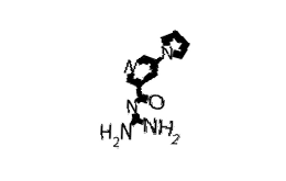 NC(N)=NC(=O)c1cncc(-n2cccc2)c1